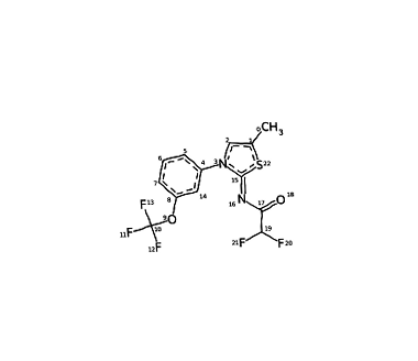 Cc1cn(-c2cccc(OC(F)(F)F)c2)c(=NC(=O)C(F)F)s1